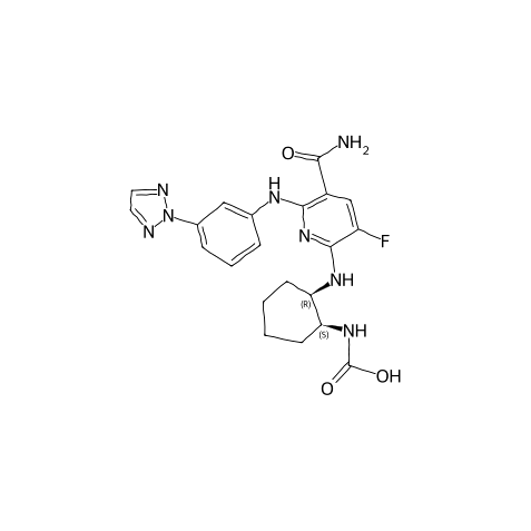 NC(=O)c1cc(F)c(N[C@@H]2CCCC[C@@H]2NC(=O)O)nc1Nc1cccc(-n2nccn2)c1